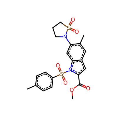 COC(=O)c1cc2cc(C)c(N3CCCS3(=O)=O)cc2n1S(=O)(=O)c1ccc(C)cc1